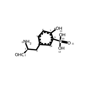 N[C@H](C=O)Cc1ccc(O)c(P(=O)(O)O)c1